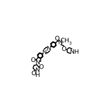 CN(CCOC1CCNCC1)C(=O)c1ccc(N2CCN(c3ccc4c(c3)CN([C@@H]3CCC(=O)NC3=O)C4=O)CC2)cc1